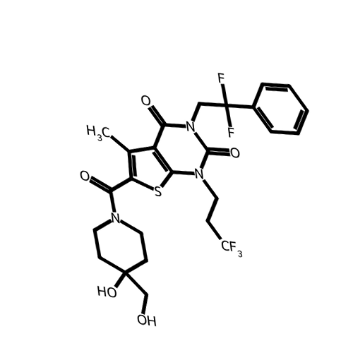 Cc1c(C(=O)N2CCC(O)(CO)CC2)sc2c1c(=O)n(CC(F)(F)c1ccccc1)c(=O)n2CCC(F)(F)F